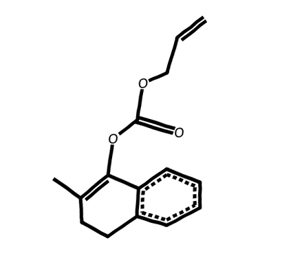 C=CCOC(=O)OC1=C(C)CCc2ccccc21